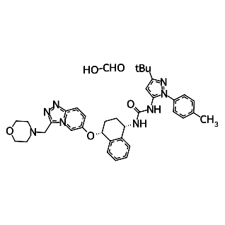 Cc1ccc(-n2nc(C(C)(C)C)cc2NC(=O)N[C@H]2CC[C@@H](Oc3ccc4nnc(CN5CCOCC5)n4c3)c3ccccc32)cc1.O=CO